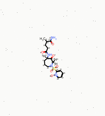 [2H]C1([2H])C(=O)[C@@]([2H])(NC(=O)[CH]CC(C)C(N)=O)CCCN1S(=O)(=O)c1cccc[n+]1[O-]